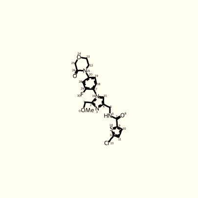 COCc1nc(CNC(=O)c2ccc(Cl)s2)cn1-c1ccc(N2CCOCC2=O)cc1F